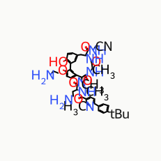 Cc1cc(-c2ccc(C(C)(C)C)cc2)nc(C)c1C(=O)NC(CCN)C(=O)N(C)C1C(=O)NC(C)C(=O)NC(C(=O)NCC#N)Cc2ccc(O)c(c2)-c2cc1ccc2OCCN